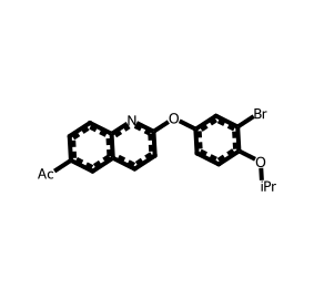 CC(=O)c1ccc2nc(Oc3ccc(OC(C)C)c(Br)c3)ccc2c1